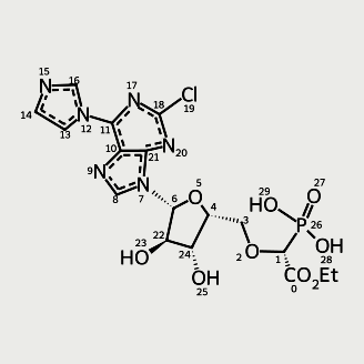 CCOC(=O)[C@H](OC[C@H]1O[C@@H](n2cnc3c(-n4ccnc4)nc(Cl)nc32)[C@H](O)[C@H]1O)P(=O)(O)O